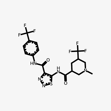 CN1CC(C(=O)Nc2snnc2C(=O)Nc2ccc(C(F)(F)F)cc2)CC(C(F)(F)F)C1